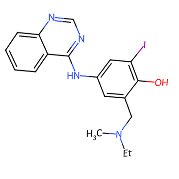 CCN(C)Cc1cc(Nc2ncnc3ccccc23)cc(I)c1O